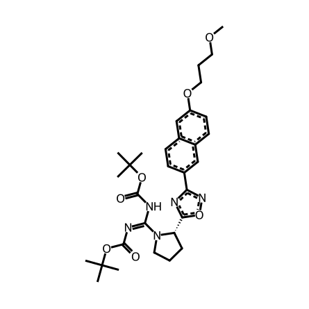 COCCCOc1ccc2cc(-c3noc([C@@H]4CCCN4/C(=N\C(=O)OC(C)(C)C)NC(=O)OC(C)(C)C)n3)ccc2c1